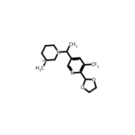 CC(c1cnc(C2OCCO2)c(C(F)(F)F)c1)N1CCC[C@H](C)C1